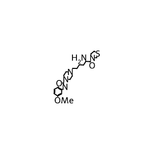 COc1ccc2oc(N3CCN(CCCCC(N)C(=O)N4CCSC4)CC3)nc2c1